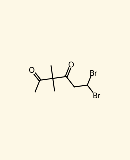 CC(=O)C(C)(C)C(=O)CC(Br)Br